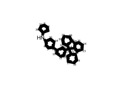 c1ccc(Nc2ccc(-c3cccc(C4(c5ccccc5)c5ccccc5-c5ccccc54)c3)cc2)cc1